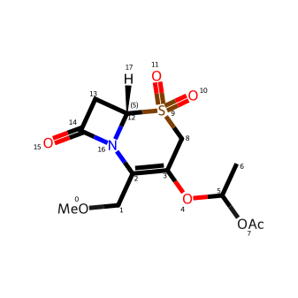 COCC1=C(OC(C)OC(C)=O)CS(=O)(=O)[C@H]2CC(=O)N12